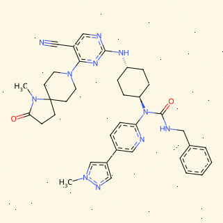 CN1C(=O)CCC12CCN(c1nc(N[C@H]3CC[C@H](N(C(=O)NCc4ccccc4)c4ccc(-c5cnn(C)c5)cn4)CC3)ncc1C#N)CC2